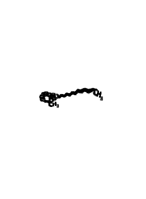 CCCCCCCCCCCCCOOP1(=O)OOOOOCC(C)O1